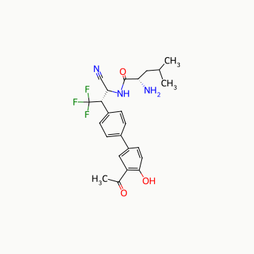 CC(=O)c1cc(-c2ccc([C@@H](C(C#N)NC(=O)[C@@H](N)CC(C)C)C(F)(F)F)cc2)ccc1O